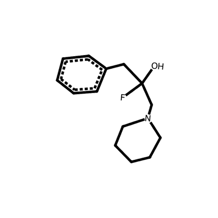 OC(F)(Cc1ccccc1)CN1CCCCC1